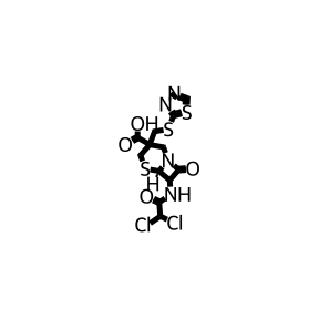 O=C(NC1C(=O)N2CC(CSc3nncs3)(C(=O)O)CS[C@H]12)C(Cl)Cl